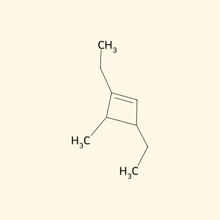 CCC1=CC(CC)C1C